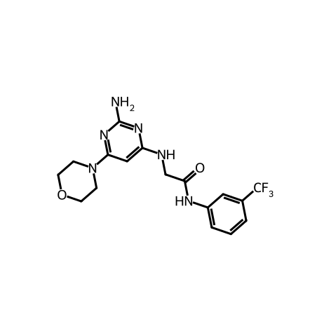 Nc1nc(NCC(=O)Nc2cccc(C(F)(F)F)c2)cc(N2CCOCC2)n1